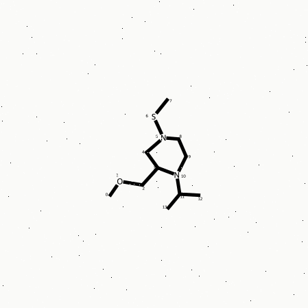 COCC1CN(SC)CCN1C(C)C